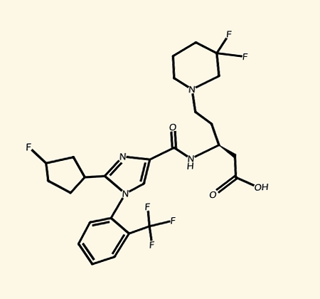 O=C(O)C[C@H](CCN1CCCC(F)(F)C1)NC(=O)c1cn(-c2ccccc2C(F)(F)F)c(C2CCC(F)C2)n1